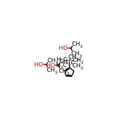 CC(C)O.CC(C)O.CC(C)O.[CH3][Ti]([CH3])([CH3])([CH3])([CH3])[C]1=CC=CC1